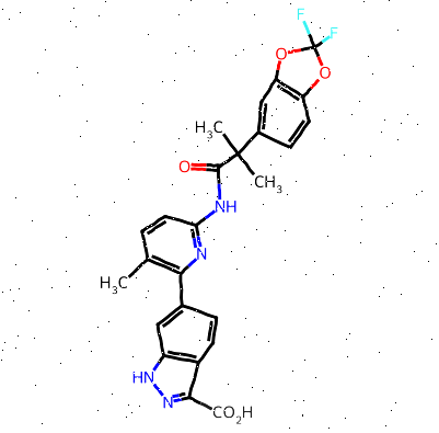 Cc1ccc(NC(=O)C(C)(C)c2ccc3c(c2)OC(F)(F)O3)nc1-c1ccc2c(C(=O)O)n[nH]c2c1